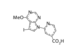 COc1ncnc2c1c(I)cn2-c1cc(C(=O)O)ccn1